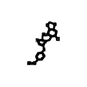 CCC(C)c1ncc(Sc2ccc(OC)cc2)n1Cc1cc2c(cc1Cl)OCO2